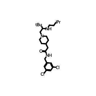 CC(C)CCNC(CN1CCC(CC(=O)NCc2cc(Cl)cc(Cl)c2)CC1)C(C)(C)C